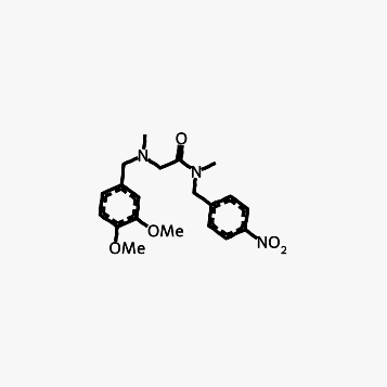 COc1ccc(CN(C)CC(=O)N(C)Cc2ccc([N+](=O)[O-])cc2)cc1OC